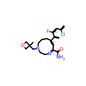 C=C(Cl)/C=C(/F)C(=C)/C1=C/C(C(N)=O)=N\CCN(CC2(C)COC2)CCC1